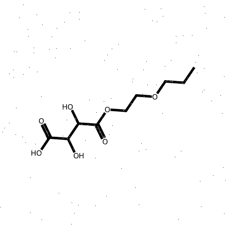 CCCOCCOC(=O)C(O)C(O)C(=O)O